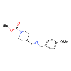 COc1ccc(CN=CC2CCN(C(=O)OC(C)(C)C)CC2)cc1